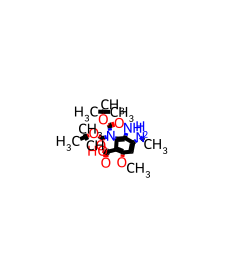 CNc1cc(OC)c(C(=O)O)c(N(C(=O)OC(C)(C)C)C(=O)OC(C)(C)C)c1N